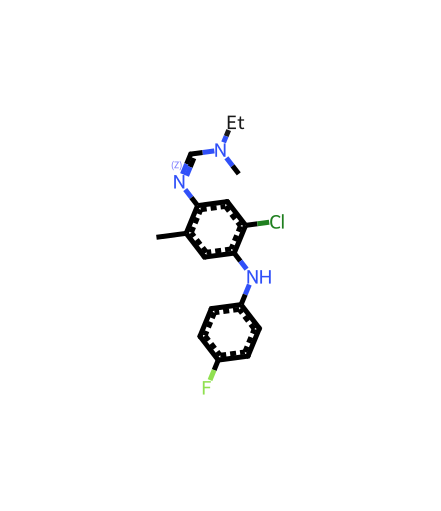 CCN(C)/C=N\c1cc(Cl)c(Nc2ccc(F)cc2)cc1C